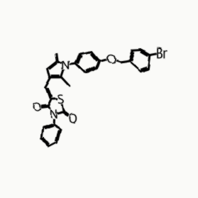 Cc1cc(C=C2SC(=O)N(c3ccccc3)C2=O)c(C)n1-c1ccc(OCc2ccc(Br)cc2)cc1